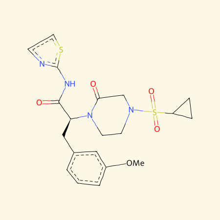 COc1cccc(C[C@@H](C(=O)Nc2nccs2)N2CCN(S(=O)(=O)C3CC3)CC2=O)c1